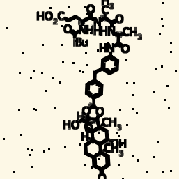 CCC(C)C(=O)N[C@@H](CCC(=O)O)C(=O)N[C@@H](C)C(=O)N[C@@H](C)C(=O)Nc1cccc(Cc2ccc([C@@H]3O[C@@H]4CC5[C@@H]6CCC7=CC(=O)C=C[C@]7(C)C6[C@@H](O)C[C@]5(C)[C@]4(C(=O)CO)O3)cc2)c1